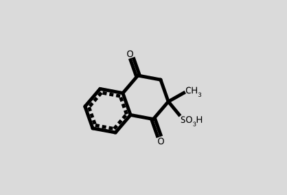 CC1(S(=O)(=O)O)CC(=O)c2ccccc2C1=O